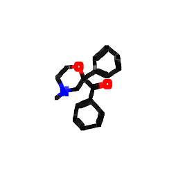 CN1CCOC(C(=O)c2ccccc2)(c2ccccc2)C1